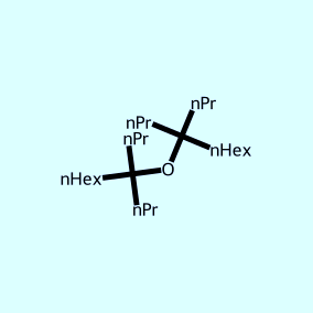 CCCCCCC(CCC)(CCC)OC(CCC)(CCC)CCCCCC